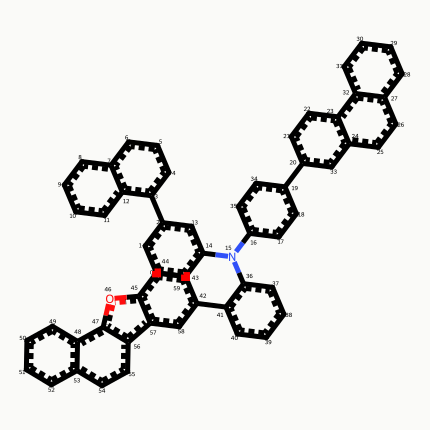 c1cc(-c2cccc3ccccc23)cc(N(c2ccc(-c3ccc4c(ccc5ccccc54)c3)cc2)c2ccccc2-c2ccc3oc4c5ccccc5ccc4c3c2)c1